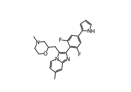 Cc1ccn2c(CC3CN(C)CCO3)c(-c3c(F)cc(-c4ccc[nH]4)cc3F)nc2c1